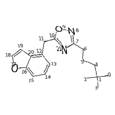 CC(C)(C)CCCc1noc(Cc2cccc3occc23)n1